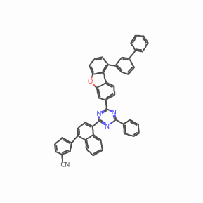 N#Cc1cccc(-c2ccc(-c3nc(-c4ccccc4)nc(-c4ccc5c(c4)oc4cccc(-c6cccc(-c7ccccc7)c6)c45)n3)c3ccccc23)c1